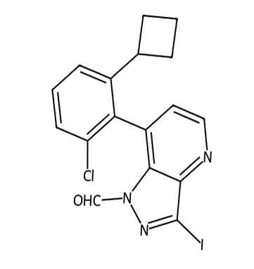 O=Cn1nc(I)c2nccc(-c3c(Cl)cccc3C3CCC3)c21